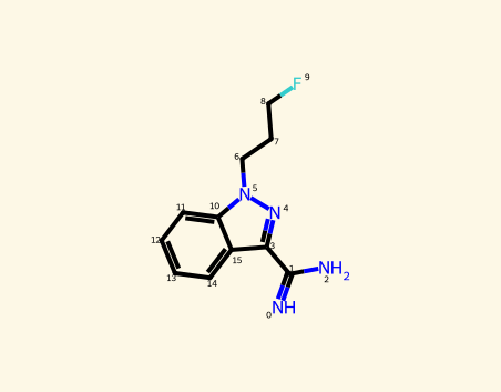 N=C(N)c1nn(CCCF)c2ccccc12